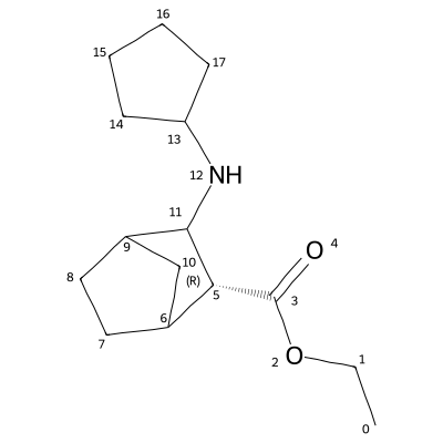 CCOC(=O)[C@@H]1C2CCC(C2)C1NC1CCCC1